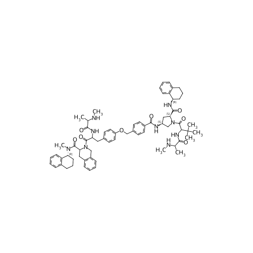 CNC(C)C(=O)NC(Cc1ccc(OCc2ccc(C(=O)N[C@H]3C[C@@H](C(=O)N[C@@H]4CCCc5ccccc54)N(C(=O)C(NC(=O)C(C)NC)C(C)(C)C)C3)cc2)cc1)C(=O)N1Cc2ccccc2CC1C(=O)N(C)[C@@H]1CCCc2ccccc21